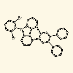 Brc1cccc(Br)c1-n1c2cccc3c4cc(-c5ccccc5)c(-c5ccccc5)cc4c4cccc1c4c32